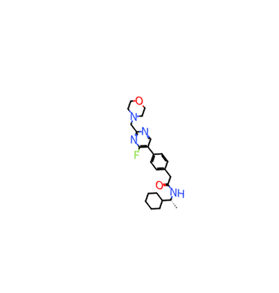 C[C@@H](NC(=O)Cc1ccc(-c2cnc(CN3CCOCC3)nc2F)cc1)C1CCCCC1